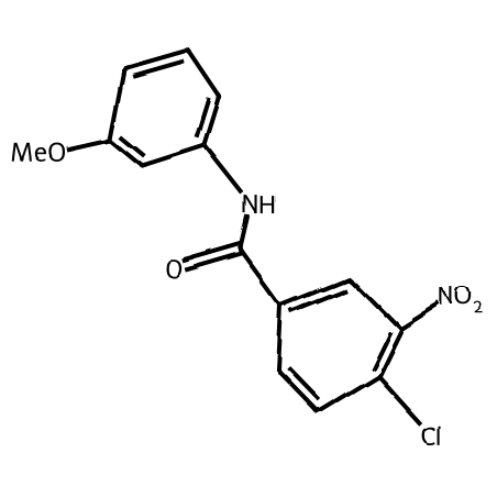 COc1cccc(NC(=O)c2ccc(Cl)c([N+](=O)[O-])c2)c1